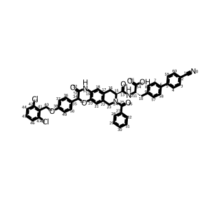 N#Cc1ccc(-c2ccc(C[C@H](NC(=O)[C@@H]3Cc4cc5c(cc4CN3C(=O)c3ccccc3)OC(c3ccc(OCc4c(Cl)cccc4Cl)cc3)C(=O)N5)C(=O)O)cc2)cc1